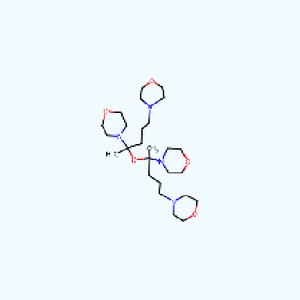 CC(CCCN1CCOCC1)(OC(C)(CCCN1CCOCC1)N1CCOCC1)N1CCOCC1